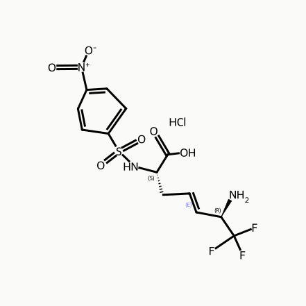 Cl.N[C@H](/C=C/C[C@H](NS(=O)(=O)c1ccc([N+](=O)[O-])cc1)C(=O)O)C(F)(F)F